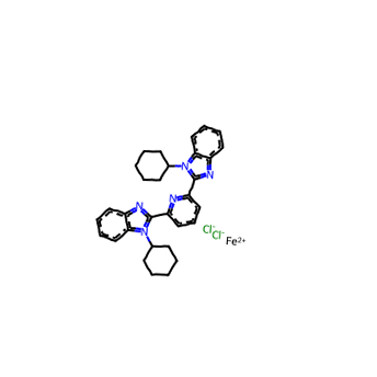 [Cl-].[Cl-].[Fe+2].c1cc(-c2nc3ccccc3n2C2CCCCC2)nc(-c2nc3ccccc3n2C2CCCCC2)c1